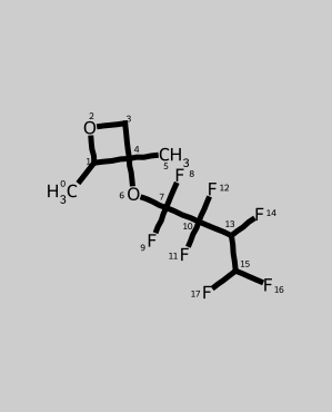 CC1OCC1(C)OC(F)(F)C(F)(F)C(F)C(F)F